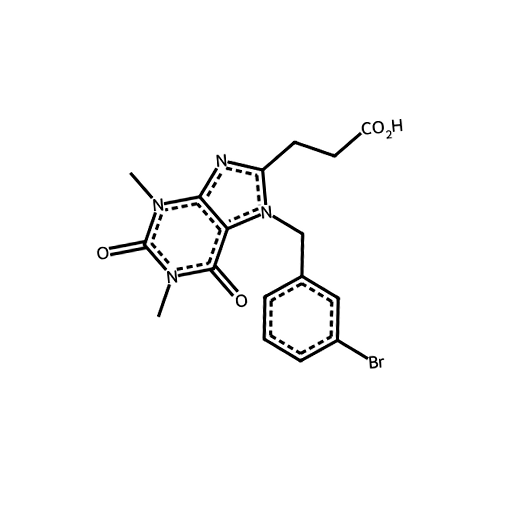 Cn1c(=O)c2c(nc(CCC(=O)O)n2Cc2cccc(Br)c2)n(C)c1=O